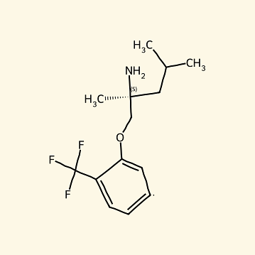 CC(C)C[C@](C)(N)COc1c[c]ccc1C(F)(F)F